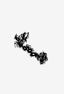 COC(=O)NC(C(=O)N1CC2(CC2)C[C@H]1c1nc(-c2ccc3c(c2)C(F)(F)c2ccc(-c4ccc5nc([C@@H]6[C@@H]7CC[C@@H](C7)N6C(=O)[C@@H](NC(=O)OC)C(C)C)[nH]c5c4)cc2-3)c[nH]1)C(C)C